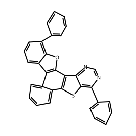 c1ccc(-c2cccc3c2oc2c3c3ccccc3c3sc4c(-c5ccccc5)ncnc4c23)cc1